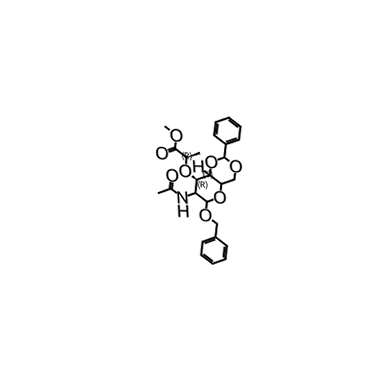 COC(=O)[C@@H](C)O[C@@H]1C(NC(C)=O)C(OCc2ccccc2)OC2COC(c3ccccc3)O[C@H]21